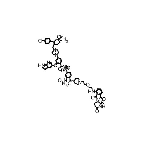 CN(c1ccc(S(=O)(=O)NC(=O)c2ccc(N3CCN(CC4=C(c5ccc(Cl)cc5)CC(C)(C)CC4)CC3)cc2Oc2cnc3[nH]ccc3c2)cc1[N+](=O)[O-])C1CCN(CCOCCNc2cccc3c2C(=O)N(C2CCC(=O)NC2=O)C3=O)CC1